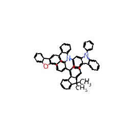 CC1(C)c2ccccc2-c2c(-c3ccccc3N(c3ccc4c5ccccc5n(-c5ccccc5)c4c3)c3ccccc3-c3ccc4oc5ccccc5c4c3)cccc21